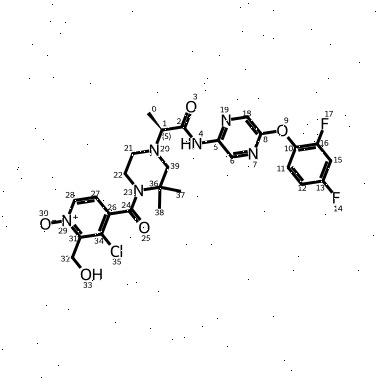 C[C@@H](C(=O)Nc1cnc(Oc2ccc(F)cc2F)cn1)N1CCN(C(=O)c2cc[n+]([O-])c(CO)c2Cl)C(C)(C)C1